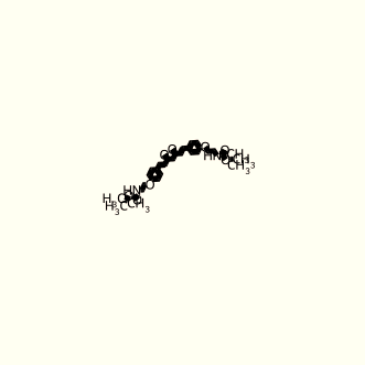 CC(C)(C)OC(=O)NCCOc1ccc(C=CC(=O)CC(=O)C=Cc2ccc(OCCNC(=O)OC(C)(C)C)cc2)cc1